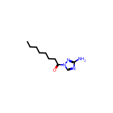 CCCCCCCC(=O)n1cnc(N)n1